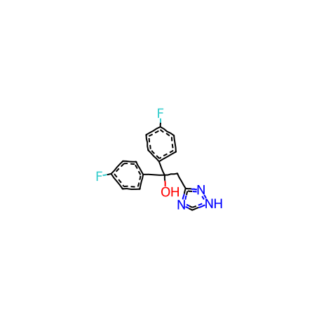 OC(Cc1nc[nH]n1)(c1ccc(F)cc1)c1ccc(F)cc1